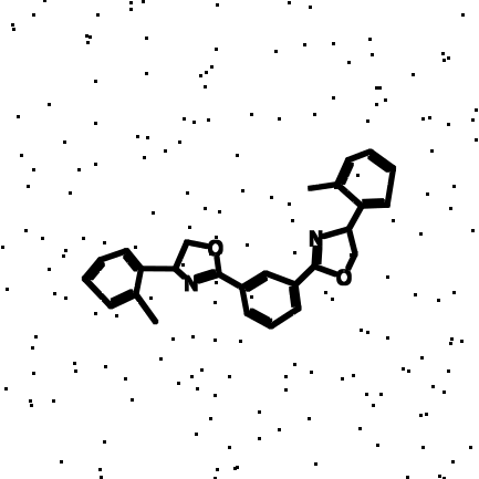 Cc1ccccc1C1COC(c2cccc(C3=NC(c4ccccc4C)CO3)c2)=N1